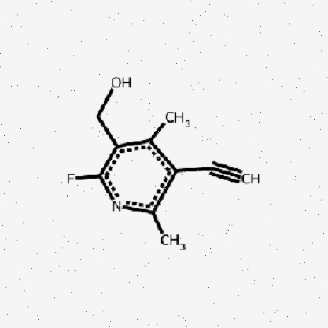 C#Cc1c(C)nc(F)c(CO)c1C